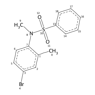 Cc1cc(Br)ccc1N(C)S(=O)(=O)c1ccccc1